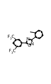 Cc1ccccc1-c1noc(-c2cc(C(F)(F)F)cc(C(F)(F)F)c2)n1